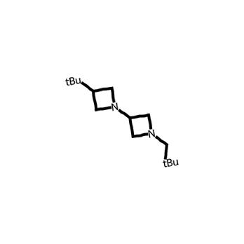 CC(C)(C)CN1CC(N2CC(C(C)(C)C)C2)C1